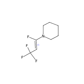 F/C(=C\C(F)(F)F)N1CCCCC1